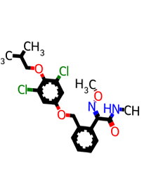 CNC(=O)C(=NOC)c1ccccc1COc1cc(Cl)c(OCC(C)C)c(Cl)c1